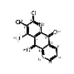 Cc1c(Cl)c(Cl)nc2c1C(=O)c1ncccc1C2=O